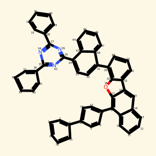 c1ccc(-c2ccc(-c3c4ccccc4cc4c3oc3c(-c5ccc(-c6nc(-c7ccccc7)nc(-c7ccccc7)n6)c6ccccc56)cccc34)cc2)cc1